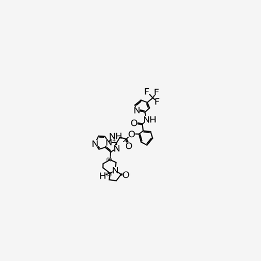 N[N+]12C=CN=CC1=C([C@@H]1CC[C@H]3CCC(=O)N3C1)N=C2CC(=O)Oc1ccccc1C(=O)Nc1cc(C(F)(F)F)ccn1